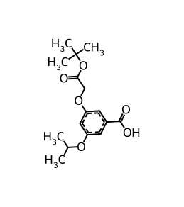 CC(C)Oc1cc(OCC(=O)OC(C)(C)C)cc(C(=O)O)c1